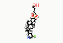 C[C@]12CC[C@@H]3c4ccc(S(=O)(=O)CCCCO)cc4CC[C@H]3[C@@H]1CC=C2c1cncc(F)c1